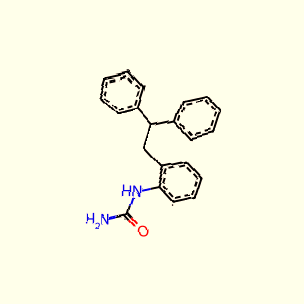 NC(=O)Nc1[c]cccc1CC(c1ccccc1)c1ccccc1